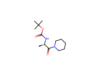 C[C@@H](NC(=O)OC(C)(C)C)C(=O)N1CCCCC1